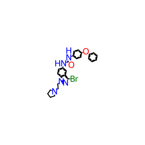 O=C(Nc1ccc(Oc2ccccc2)cc1)Nc1ccc2c(c1)c(Br)nn2CCN1CCCC1